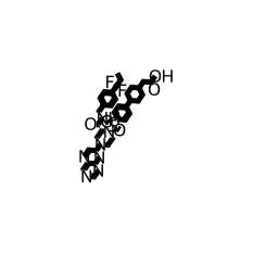 CCC(F)(F)c1ccc(CNC(=O)[C@H]2CN(c3cnc4cncnc4n3)CCN2S(=O)(=O)c2ccc(C3CCC(CC(=O)O)CC3)cc2)cc1